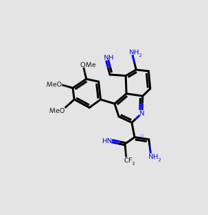 COc1cc(-c2cc(/C(=C/N)C(=N)C(F)(F)F)nc3ccc(N)c(C=N)c23)cc(OC)c1OC